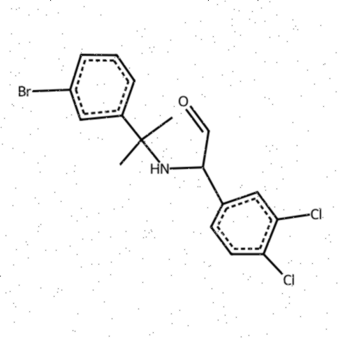 CC(C)(NC(C=O)c1ccc(Cl)c(Cl)c1)c1cccc(Br)c1